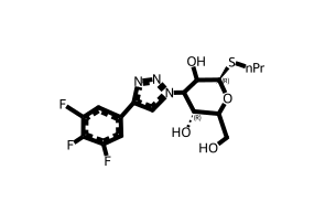 CCCS[C@H]1OC(CO)[C@H](O)C(n2cc(-c3cc(F)c(F)c(F)c3)nn2)C1O